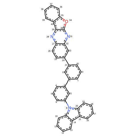 c1cc(-c2cccc(-n3c4ccccc4c4ccccc43)c2)cc(-c2ccc3nc4c(nc3c2)oc2ccccc24)c1